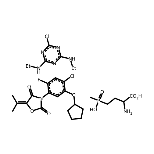 CC(C)=C1OC(=O)N(c2cc(OC3CCCC3)c(Cl)cc2F)C1=O.CCNc1nc(Cl)nc(NCC)n1.CP(=O)(O)CCC(N)C(=O)O